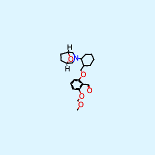 COCOc1cccc(OCC2CCCCC2N2C[C@H]3CC[C@H](C2)O3)c1C=O